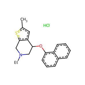 CCN1Cc2sc(C)cc2C(Oc2cccc3ccccc23)C1.Cl